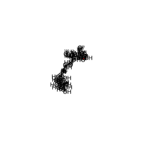 CCC(=O)N[C@H]1C([C@H](O)[C@H](O)CO)O[C@@](O[C@@H]2C(O)[C@H](O[C@@H]3C(CO)O[C@@H](OCCn4cc(CNC(=O)CCC(=O)NCCO[C@@H]5OC(CO[C@@H]6OC(CO)[C@@H](OP(=O)(O)O)[C@H](OC(=O)CC)C6NC(=O)C[C@@H](CC)OC(=O)CC)[C@@H](O)[C@H](OC(=O)CC)C5NC(=O)C[C@@H](CC)OC(=O)CC)nn4)C(O)[C@H]3O)OC(CO)[C@@H]2O)(C(=O)O)C[C@H]1O